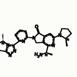 C[C@@H]1CCCN1c1cc2c(c([C@@H](C)N)n1)CN(c1cccc(-c3nnc4n3[C@@H](C)CC4)n1)C2=O